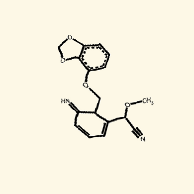 COC(C#N)C1=CC=CC(=N)C1COc1cccc2c1OCO2